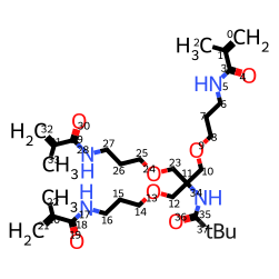 C=C(C)C(=O)NCCCOCC(COCCCNC(=O)C(=C)C)(COCCCNC(=O)C(=C)C)NC(=O)C(C)(C)C